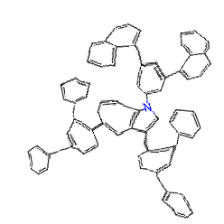 c1ccc(-c2ccc(-c3ccc4c(c3)c(-c3ccc(-c5ccccc5)cc3-c3ccccc3)cn4-c3cc(-c4cccc5ccccc45)cc(-c4cccc5ccccc45)c3)c(-c3ccccc3)c2)cc1